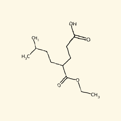 CCOC(=O)C(CCC(=O)O)CCC(C)C